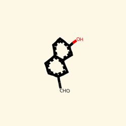 O=Cc1ccc2ccc(O)cc2c1